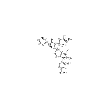 COc1ccc(-n2c(=O)n(C)c3cc(-c4nc(-c5cnccn5)[nH]c4-c4ccc(F)c(C)c4)ccc32)c(Cl)c1